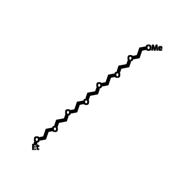 [CH2]COCCOCCOCCOCCOCCOCCOCCOC